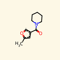 Cc1cc(C(=O)N2CCCCC2)[c]o1